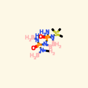 BNP(=O)(N(B)C)N(B)P(N)(=O)N(B)S(C)(C)C